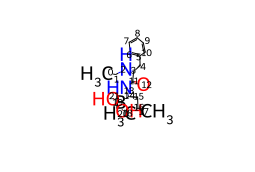 CCN[C@@H](Cc1ccccc1)C(=O)N[C@@H](CC(C)C)B(O)O